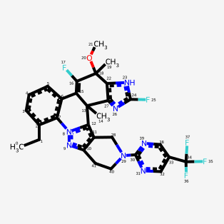 CCc1cccc2c1-n1nc3c(c1C1(C)C2=C(F)C(C)(OC)c2[nH]c(F)nc21)CN(c1ncc(C(F)(F)F)cn1)CC3